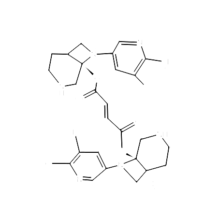 CCc1cc(N2C[C@@H]3CCNC[C@]32OC(=O)/C=C/C(=O)O[C@@]23CNCC[C@H]2CN3c2cnc(Cl)c(CC)c2)cnc1Cl